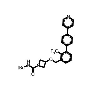 CC(C)(C)NC(=O)N1CC(OCc2cccc(-c3ccc(-c4ccncc4)cc3)c2C(F)(F)F)C1